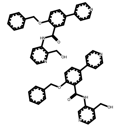 O=C(Nc1cccnc1CO)c1cc(-c2ccncc2)ccc1OCc1ccccc1.O=C(Nc1cnccc1CO)c1cc(-c2ccncc2)ccc1OCc1ccccc1